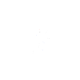 CN1Cc2c(-c3cccs3)ncn2-c2cccc(Cl)c2C1=O